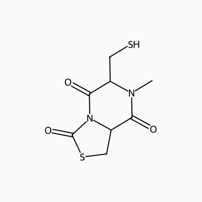 CN1C(=O)C2CSC(=O)N2C(=O)C1CS